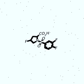 O=C(O)C1CC(F)CN1S(=O)(=O)c1ccc(F)c(F)c1